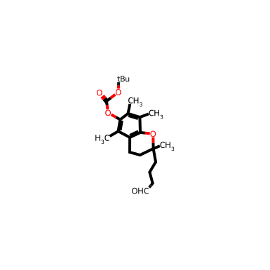 Cc1c(C)c2c(c(C)c1OC(=O)OC(C)(C)C)CCC(C)(CCCC=O)O2